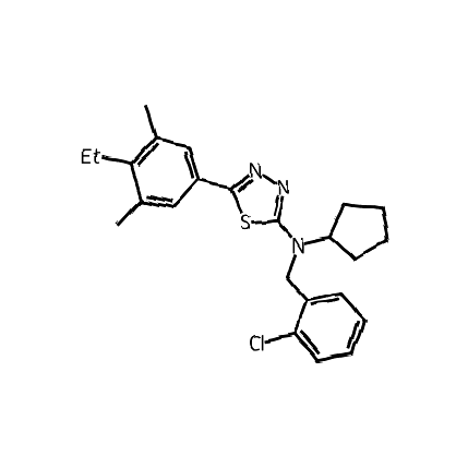 CCc1c(C)cc(-c2nnc(N(Cc3ccccc3Cl)C3CCCC3)s2)cc1C